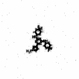 Cn1ccc(-c2nc(NC3CCC(F)(F)CC3)nc(NC3CCC(F)(F)CC3)n2)n1